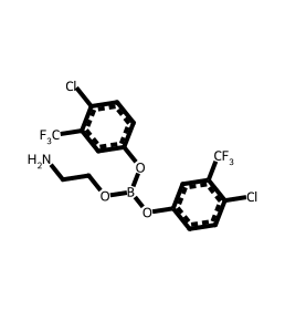 NCCOB(Oc1ccc(Cl)c(C(F)(F)F)c1)Oc1ccc(Cl)c(C(F)(F)F)c1